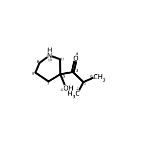 CC(C)C(=O)C1(O)CCCNC1